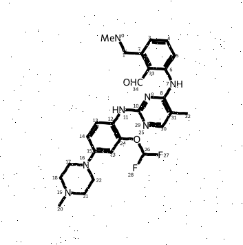 CNCc1cccc(Nc2nc(Nc3ccc(N4CCN(C)CC4)cc3OC(F)F)ncc2C)c1C=O